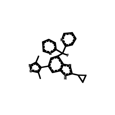 Cc1noc(C)c1-c1cc(C(F)(c2ccccn2)c2ccccn2)c2nc(C3CC3)[nH]c2c1